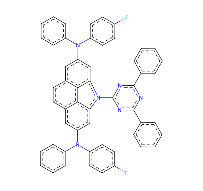 Fc1ccc(N(c2ccccc2)c2cc3ccc4cc(N(c5ccccc5)c5ccc(F)cc5)cc5c4c3c(c2)n5-c2nc(-c3ccccc3)nc(-c3ccccc3)n2)cc1